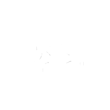 OC1=C(I)CC(c2cc(I)c(O)c(I)c2)(C2SCCCS2)C=C1I